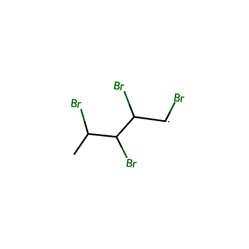 CC(Br)C(Br)C(Br)[CH]Br